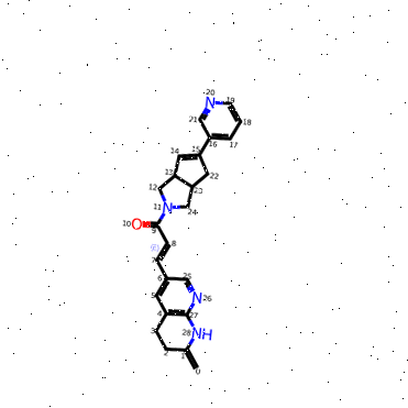 C=C1CCc2cc(/C=C/C(=O)N3CC4C=C(c5cccnc5)CC4C3)cnc2N1